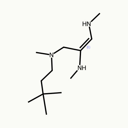 CN/C=C(\CN(C)CCC(C)(C)C)NC